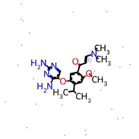 COc1cc(C(C)C)c(Oc2cnc(N)nc2N)cc1C(=O)/C=C/N(C)C